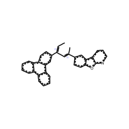 C/C=C(\C=C(/C)c1ccc2oc3ncccc3c2c1)c1ccc2c3ccccc3c3ccccc3c2c1